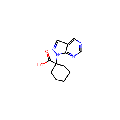 O=C(O)C1(n2ncc3cncnc32)CCCCC1